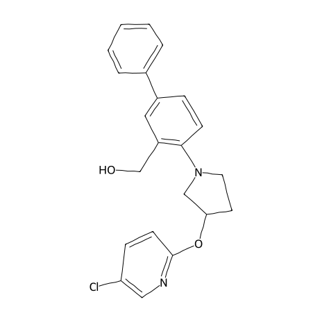 OCc1cc(-c2ccccc2)ccc1N1CCC(Oc2ccc(Cl)cn2)C1